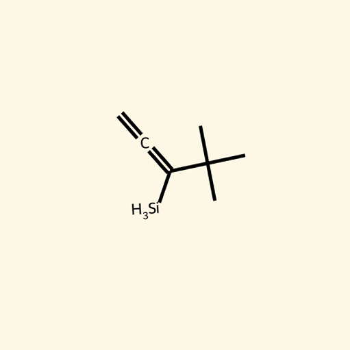 C=C=C([SiH3])C(C)(C)C